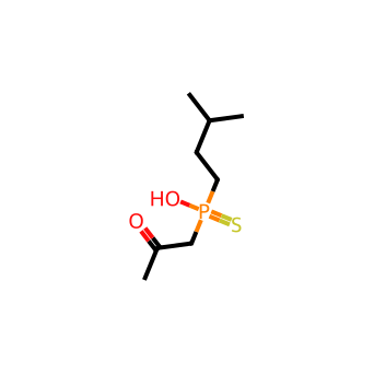 CC(=O)CP(O)(=S)CCC(C)C